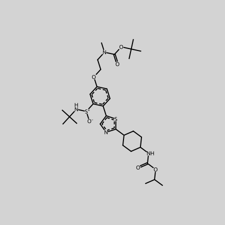 CC(C)OC(=O)NC1CCC(c2ncc(-c3ccc(OCCN(C)C(=O)OC(C)(C)C)cc3[S+]([O-])NC(C)(C)C)s2)CC1